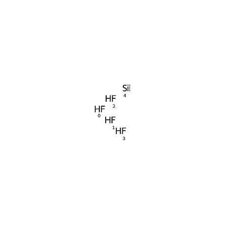 F.F.F.F.[Si]